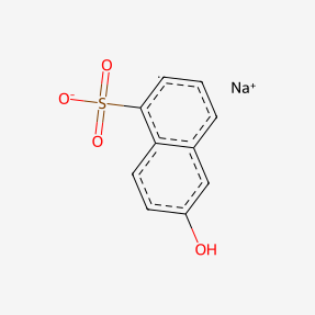 O=S(=O)([O-])c1[c]ccc2cc(O)ccc12.[Na+]